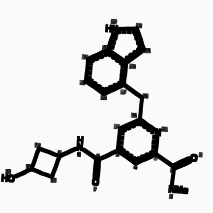 CNC(=O)c1cc(C(=O)NC2CC(O)C2)cc(Cc2cccc3[nH]ccc23)n1